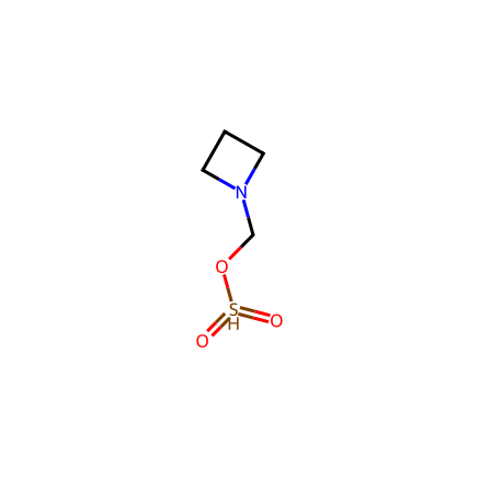 O=[SH](=O)OCN1CCC1